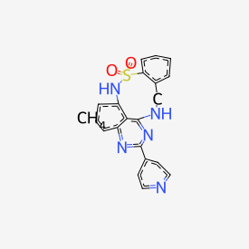 C.O=S1(=O)Nc2cccc3nc(-c4ccncc4)nc(c23)NCc2ccccc21